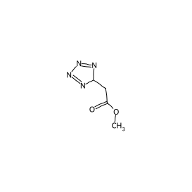 COC(=O)CC1N=NN=N1